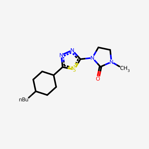 CCCCC1CCC(c2nnc(N3CCN(C)C3=O)s2)CC1